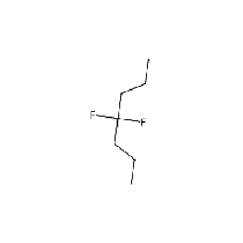 [CH2]CCC(F)(F)CCC